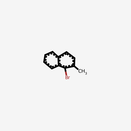 Cc1ccc2ccccc2c1Br